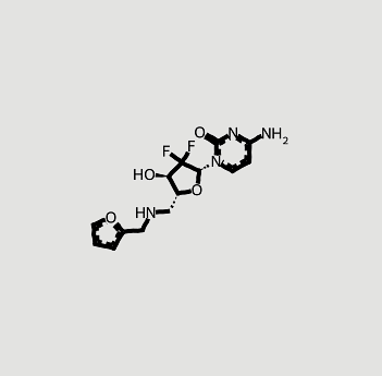 Nc1ccn([C@@H]2O[C@H](CNCc3ccco3)[C@@H](O)C2(F)F)c(=O)n1